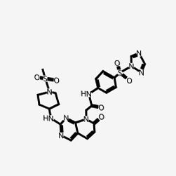 CS(=O)(=O)N1CCC(Nc2ncc3ccc(=O)n(CC(=O)Nc4ccc(S(=O)(=O)n5cncn5)cc4)c3n2)CC1